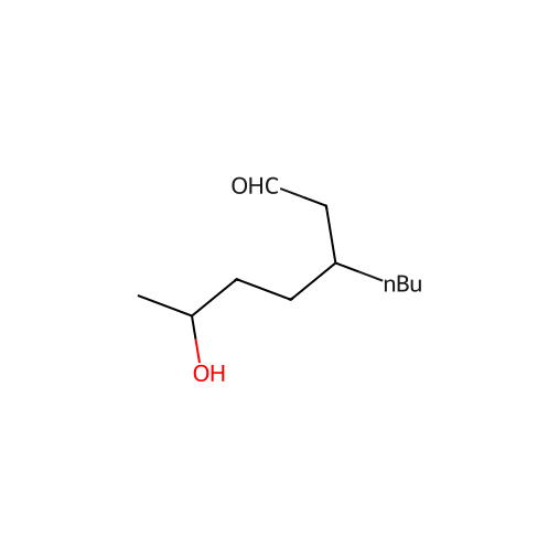 CCCCC(CC=O)CCC(C)O